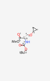 COC(=O)[C@H](COC1CC1)NC(=O)OC(C)(C)C